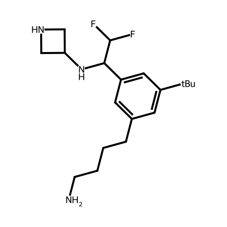 CC(C)(C)c1cc(CCCCN)cc(C(NC2CNC2)C(F)F)c1